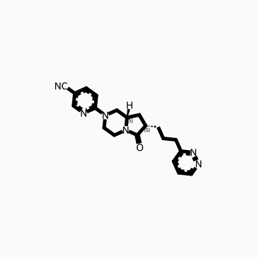 N#Cc1ccc(N2CCN3C(=O)[C@@H](CCCc4cccnn4)C[C@H]3C2)nc1